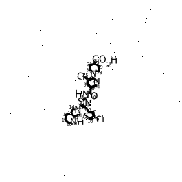 O=C(Nc1nc(-c2cc(Cl)cs2)c(N2CC3CCCNC3C2)s1)c1cnc(N2CCC(C(=O)O)CC2)c(Cl)c1